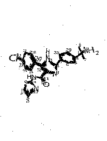 CC(C)(N)c1ccc(-c2nc(C(=O)Nc3nccs3)c(-c3ccc(Cl)cc3)[nH]2)cc1